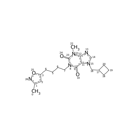 Cc1cc(CCCCn2c(=O)c3c(ncn3CC3CCC3)n(C)c2=O)on1